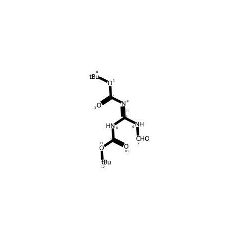 CC(C)(C)OC(=O)/N=C(/NC=O)NC(=O)OC(C)(C)C